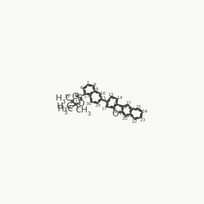 CC1(C)OB(c2cccc3cc(-c4ccc5c(c4)oc4cc6ccccc6cc45)ccc23)OC1(C)C